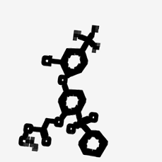 COC(=O)COc1cc(Oc2ccc(C(F)(F)F)cc2Cl)ccc1S(=O)(=O)c1ccccc1